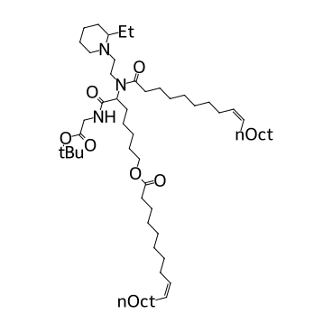 CCCCCCCC/C=C\CCCCCCCC(=O)OCCCCCC(C(=O)NCC(=O)OC(C)(C)C)N(CCN1CCCCC1CC)C(=O)CCCCCCC/C=C\CCCCCCCC